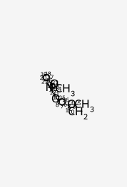 [CH2]CC(OCC)c1ccc(OCCc2nc(-c3ccccc3)oc2C)cc1